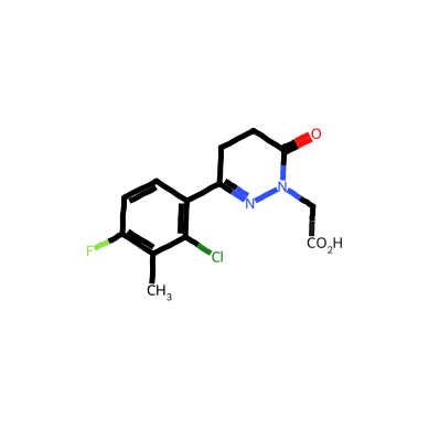 Cc1c(F)ccc(C2=NN(CC(=O)O)C(=O)CC2)c1Cl